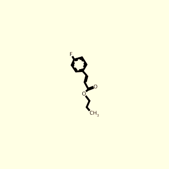 CCCOC(=O)C=Cc1ccc(F)cc1